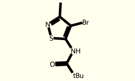 Cc1nsc(NC(=O)C(C)(C)C)c1Br